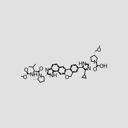 COC[C@H]1C[C@@H](c2nc(C3CC3)c(-c3ccc4c(c3)COc3cc5c(ccc6nc([C@@H]7CC[C@H](C)N7C(=O)[C@@H](NC(=O)OC)C(C)C)[nH]c65)cc3-4)[nH]2)N(C(=O)O)C1